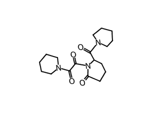 O=C(C(=O)N1C(=O)CCCC1C(=O)N1CCCCC1)N1CCCCC1